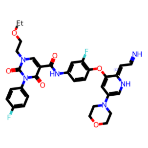 CCOCCn1cc(C(=O)Nc2ccc(OC3=CC(N4CCOCC4)=CN/C3=C\C=N)c(F)c2)c(=O)n(-c2ccc(F)cc2)c1=O